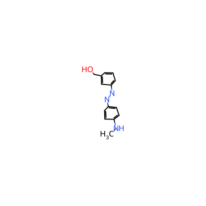 CNc1ccc(N=Nc2cccc(CO)c2)cc1